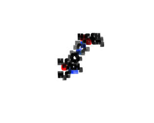 CNC(=O)C(C)(C)c1ccc(N2CCN(C(=O)OC(C)(C)C)CC2)cc1